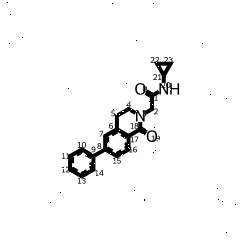 O=C(CN1CCc2cc(-c3ccccc3)ccc2C1=O)NC1CC1